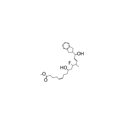 COC(=O)CCC/C=C\CC[C@@H](O)CC(F)C(C)/C=C/[C@H](O)C1Cc2ccccc2C1